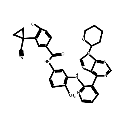 Cc1ccc(NC(=O)c2ccc(Cl)c(C3(C#N)CC3)c2)cc1Nc1ncccc1-c1ncnc2c1ncn2C1CCCCO1